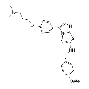 COc1ccc(CNc2nn3c(-c4ccc(OCCCN(C)C)nc4)cnc3s2)cc1